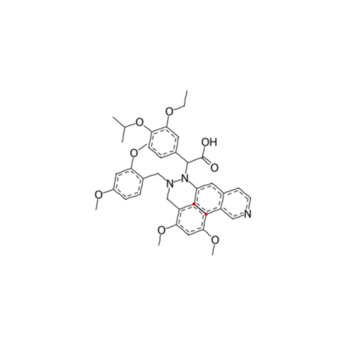 CCOc1cc(C(C(=O)O)N(c2ccc3cnccc3c2)N(Cc2ccc(OC)cc2OC)Cc2ccc(OC)cc2OC)ccc1OC(C)C